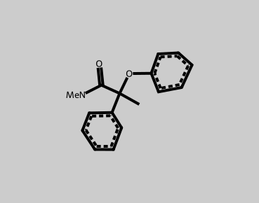 CNC(=O)C(C)(Oc1ccccc1)c1ccccc1